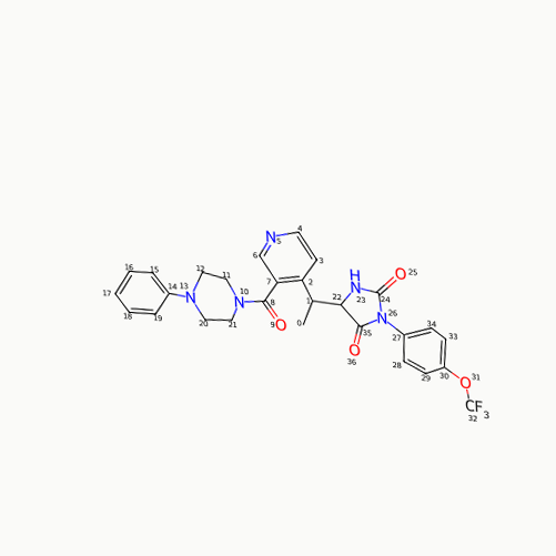 CC(c1ccncc1C(=O)N1CCN(c2ccccc2)CC1)C1NC(=O)N(c2ccc(OC(F)(F)F)cc2)C1=O